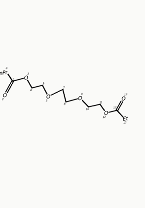 CCCC(=O)OCCOCCOCCOC(=O)CC